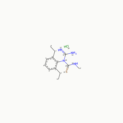 CCc1cccc(CC)c1N(C(=N)N)C(=S)NC.Cl